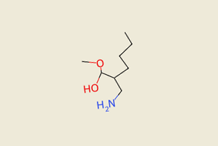 CCCCC(CN)C(O)OC